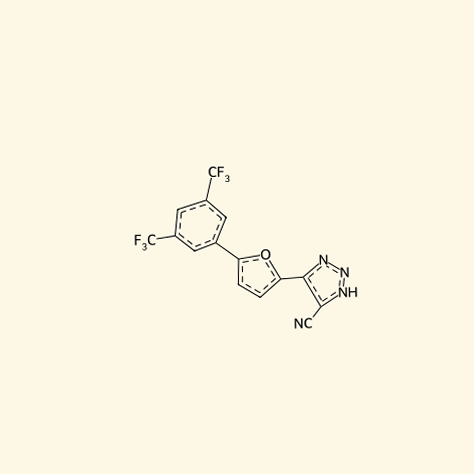 N#Cc1[nH]nnc1-c1ccc(-c2cc(C(F)(F)F)cc(C(F)(F)F)c2)o1